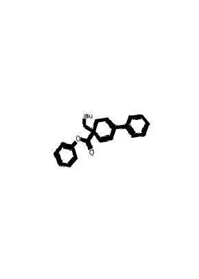 CCC(C)CC1(C(=O)Oc2ccccc2)C=CC(c2ccccc2)=CC1